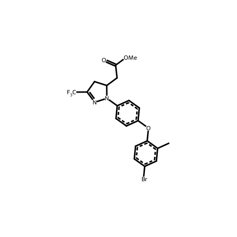 COC(=O)CC1CC(C(F)(F)F)=NN1c1ccc(Oc2ccc(Br)cc2C)cc1